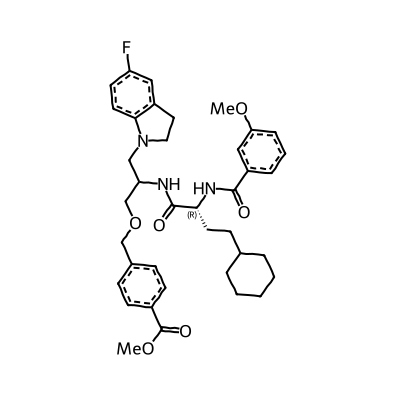 COC(=O)c1ccc(COCC(CN2CCc3cc(F)ccc32)NC(=O)[C@@H](CCC2CCCCC2)NC(=O)c2cccc(OC)c2)cc1